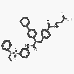 CCN(c1ccccc1)S(=O)(=O)c1cccc(NC(=O)C(Cc2ccc(C(=O)NCCC(=O)O)cc2)c2ccc(C3=CCCCC3)cc2)c1